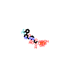 O=c1ccn([C@@H]2O[C@H](COP(=O)(O)OP(=O)(O)O)[C@H](O)C2O)c(=O)n1Cc1cc(-c2ccccc2C(F)(F)F)ccn1